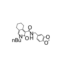 CCCCn1cc2c(c(C(=O)NCc3ccc4c(c3)OCO4)c1=O)CCCC2